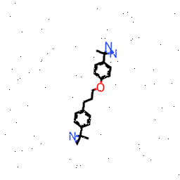 CC1(c2ccc(CCCOc3ccc(C4(C)N=N4)cc3)cc2)C=N1